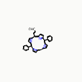 O=CC=CC1=C2C=CC(=N2)C(c2ccccc2)=C2C=CC(=N2)C=C2C=CC(=N2)C(c2ccccc2)=C2C=CC1=N2